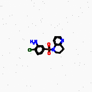 Nc1cc(S(=O)(=O)N2CCCc3ncccc32)ccc1Cl